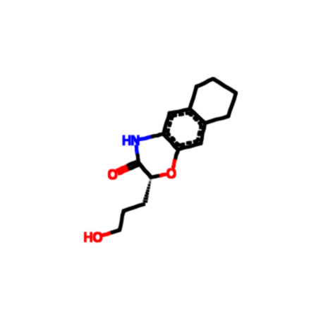 O=C1Nc2cc3c(cc2O[C@@H]1CCCO)CCCC3